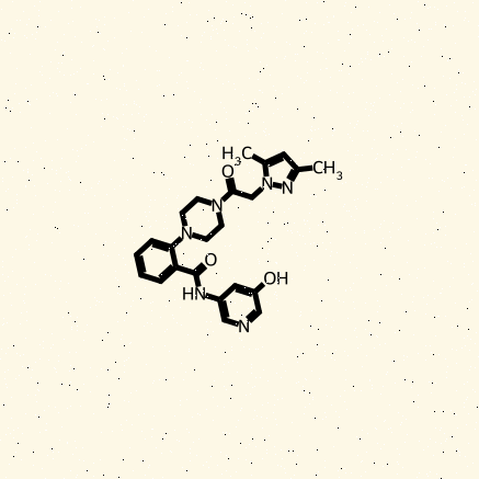 Cc1cc(C)n(CC(=O)N2CCN(c3ccccc3C(=O)Nc3cncc(O)c3)CC2)n1